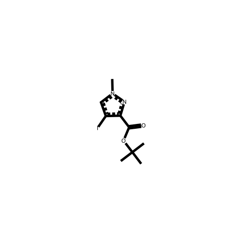 Cn1cc(I)c(C(=O)OC(C)(C)C)n1